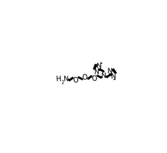 Cn1ccnc1CN(CCOCCOCCOCCN)Cc1nccn1C